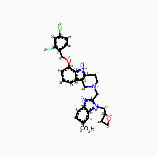 O=C(O)c1ccc2nc(CN3CCc4[nH]c5c(OCc6ccc(Cl)cc6F)cccc5c4C3)n(CC3CCO3)c2c1